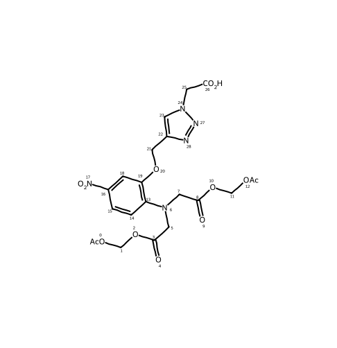 CC(=O)OCOC(=O)CN(CC(=O)OCOC(C)=O)c1ccc([N+](=O)[O-])cc1OCc1cn(CC(=O)O)nn1